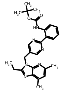 CCc1nc2c(C)cc(C)nc2n1Cc1cnc(-c2ccccc2NC(=O)OC(C)(C)C)nc1